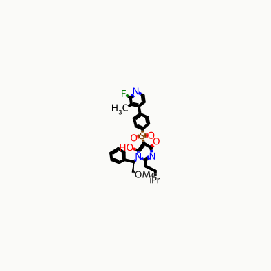 COC[C@@H](c1ccccc1)n1c(CCC(C)C)nc(=O)c(S(=O)(=O)c2ccc(-c3ccnc(F)c3C)cc2)c1O